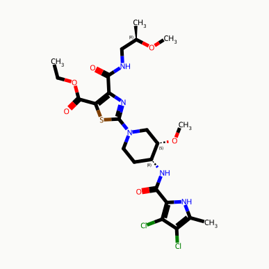 CCOC(=O)c1sc(N2CC[C@@H](NC(=O)c3[nH]c(C)c(Cl)c3Cl)[C@@H](OC)C2)nc1C(=O)NC[C@@H](C)OC